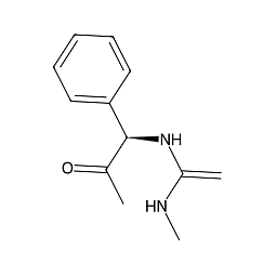 C=C(NC)N[C@@H](C(C)=O)c1ccccc1